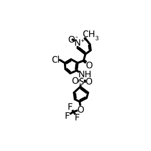 Cc1ccc(C(=O)c2cc(Cl)ccc2NS(=O)(=O)c2ccc(OC(F)(F)F)cc2)c[n+]1[O-]